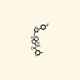 Cc1cncc(C(=O)N[C@H]2CC[C@@H]3[C@H]2CCN3Cc2cnn(-c3ccc(F)cc3)c2)c1